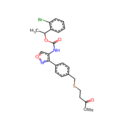 COC(=O)CCSCc1ccc(-c2nocc2NC(=O)OC(C)c2ccccc2Br)cc1